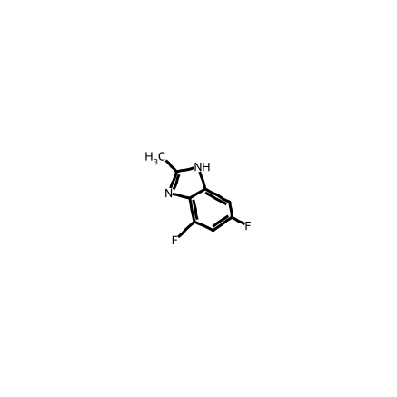 Cc1nc2c(F)cc(F)cc2[nH]1